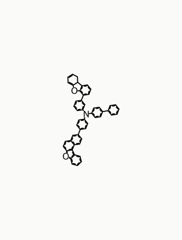 C1=CCC2C(=C1)Oc1c(-c3cccc(N(c4ccc(-c5ccccc5)cc4)c4ccc(-c5ccc6c(ccc7oc8ccccc8c76)c5)cc4)c3)cccc12